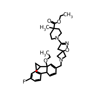 CCOC(=O)C1(C)CCN(C2=NOC3(C2)CN(CC2=CC(OCC)(C4CC4)C(c4ccc(F)cc4)C=C2)C3)CC1